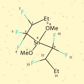 CCC(F)[C](F)(F)[Sn]([O]C)([O]C)[C](F)(F)C(F)CC